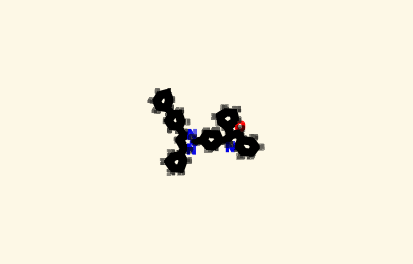 c1ccc(-c2ccc(-c3cc(-c4ccccc4)nc(-c4ccc(-c5nc6ccccc6c6oc7ccccc7c56)cc4)n3)cc2)cc1